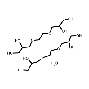 O.OCC(O)COCCOCC(O)CO.OCC(O)COCCOCC(O)CO